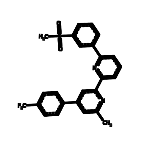 Cc1cc(-c2ccc(C(F)(F)F)cc2)cc(-c2cccc(-c3cccc(S(C)(=O)=O)c3)n2)n1